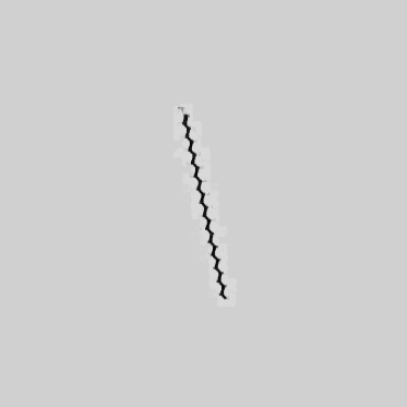 CCCCCCCCCCCCCCCCCCCCCCCCCCCC=C[N]